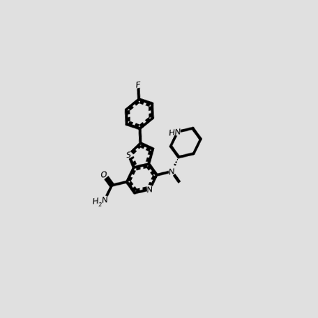 CN(c1ncc(C(N)=O)c2sc(-c3ccc(F)cc3)cc12)[C@H]1CCCNC1